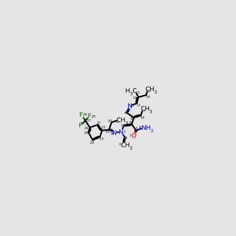 C=CN(/C=C(C(N)=O)/C(/C=N\C=C(/C)CC)=C/C)/N=C(\CC)c1cccc(C(F)(F)F)c1